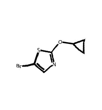 Brc1cnc(OC2CC2)s1